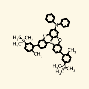 Cc1ccc([Si](C)(C)C)cc1-c1ccc2c(c1)Oc1cc(N(c3ccccc3)c3ccccc3)cc3c1B2c1ccc(-c2cc([Si](C)(C)C)ccc2C)cc1O3